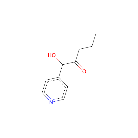 CCCC(=O)C(O)c1ccncc1